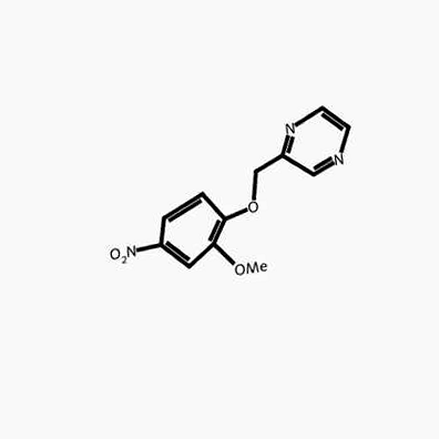 COc1cc([N+](=O)[O-])ccc1OCc1cnccn1